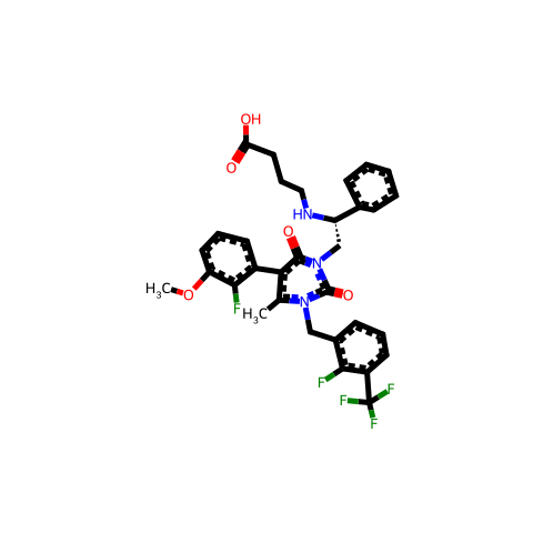 COc1cccc(-c2c(C)n(Cc3cccc(C(F)(F)F)c3F)c(=O)n(C[C@H](NCCCC(=O)O)c3ccccc3)c2=O)c1F